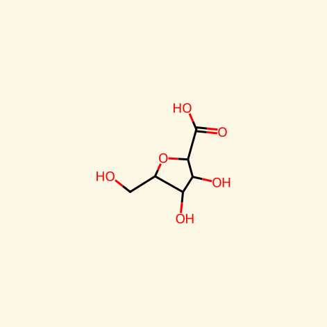 O=C(O)C1OC(CO)C(O)C1O